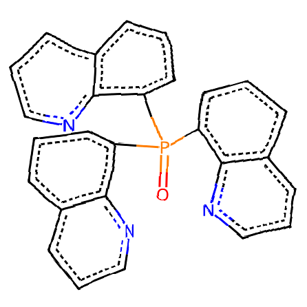 O=P(c1cccc2cccnc12)(c1cccc2cccnc12)c1cccc2cccnc12